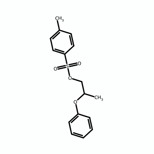 Cc1ccc(S(=O)(=O)OCC(C)Oc2ccccc2)cc1